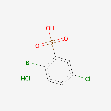 Cl.O=S(=O)(O)c1cc(Cl)ccc1Br